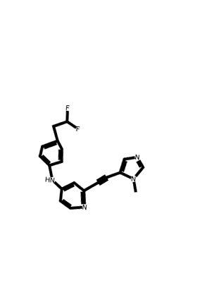 Cn1cncc1C#Cc1cc(Nc2ccc(CC(F)F)cc2)ccn1